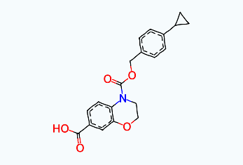 O=C(O)c1ccc2c(c1)OCCN2C(=O)OCc1ccc(C2CC2)cc1